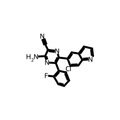 N#Cc1nc(-c2ccc3ncccc3c2)c(-c2c(F)cccc2Cl)nc1N